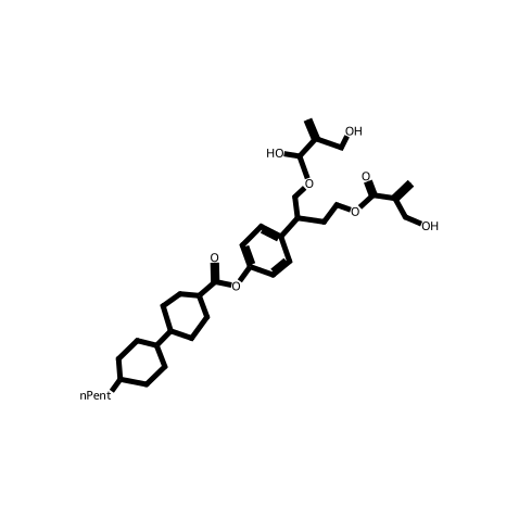 C=C(CO)C(=O)OCCC(COC(O)C(=C)CO)c1ccc(OC(=O)C2CCC(C3CCC(CCCCC)CC3)CC2)cc1